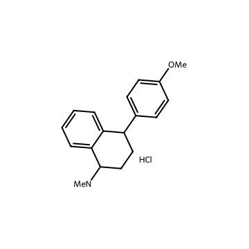 CNC1CCC(c2ccc(OC)cc2)c2ccccc21.Cl